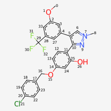 COc1cc(-c2cn(C)nc2-c2ccc(OCc3ccc(Cl)cc3)cc2O)cc(C(F)(F)F)c1